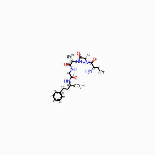 CC(C)C[C@H](N)C(=O)N[C@@H](C)C(=O)N[C@H](C(=O)NCC(=O)N[C@H](CCc1ccccc1)C(=O)O)C(C)C